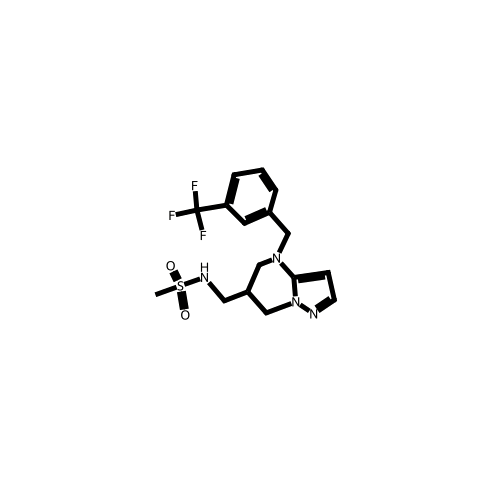 CS(=O)(=O)NCC1CN(Cc2cccc(C(F)(F)F)c2)c2ccnn2C1